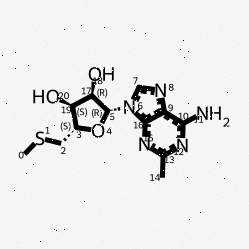 CSC[C@H]1O[C@@H](n2cnc3c(N)nc(C)nc32)[C@H](O)[C@@H]1O